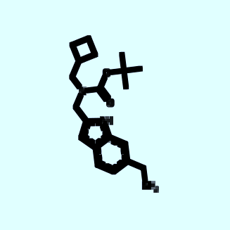 CC(C)(C)OC(=O)N(Cc1cc2ccc(CN)cc2[nH]1)CC1CCC1